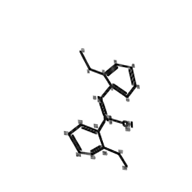 CCc1ccccc1N=[N+](O)c1ccccc1CC